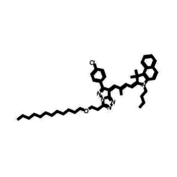 CCCCCCCCCCCCOCCc1nnc2\c(=C/C(C)=C/C=C3/N(CCCC)c4ccc5ccccc5c4C3(C)C)c(-c3ccc(Cl)cc3)nn12